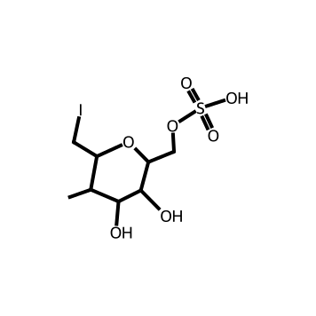 CC1C(CI)OC(COS(=O)(=O)O)C(O)C1O